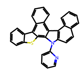 c1ccc(-n2c3ccc4ccccc4c3c3c4ccccc4c4c5ccccc5sc4c32)nc1